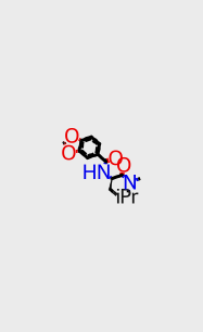 CC(C)C[C@@H](NC(=O)c1ccc2c(c1)OCO2)C(=O)N(C)C